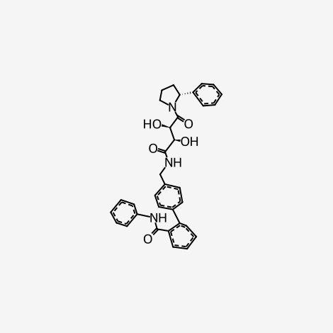 O=C(Nc1ccccc1)c1ccccc1-c1ccc(CNC(=O)[C@H](O)[C@@H](O)C(=O)N2CCC[C@@H]2c2ccccc2)cc1